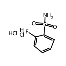 Cl.Cl.NS(=O)(=O)c1ccccc1F